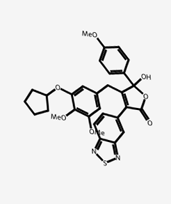 COc1ccc(C2(O)OC(=O)C(c3ccc4nsnc4c3)=C2Cc2cc(OC)c(OC)c(OC3CCCC3)c2)cc1